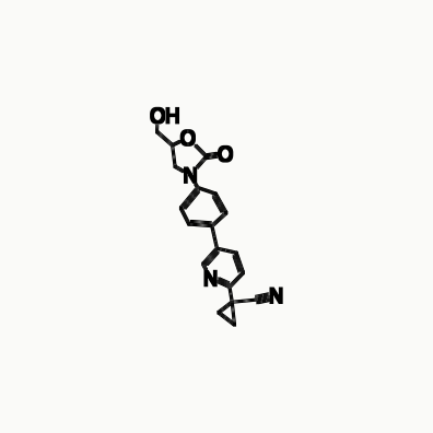 N#CC1(c2ccc(-c3ccc(N4CC(CO)OC4=O)cc3)cn2)CC1